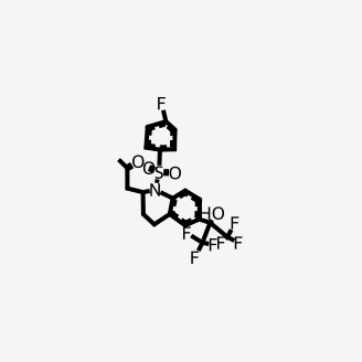 CC(=O)CC1CCc2cc(C(O)(C(F)(F)F)C(F)(F)F)ccc2N1S(=O)(=O)c1ccc(F)cc1